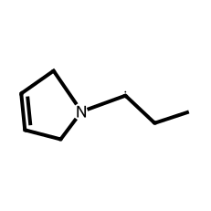 CC[CH]N1CC=CC1